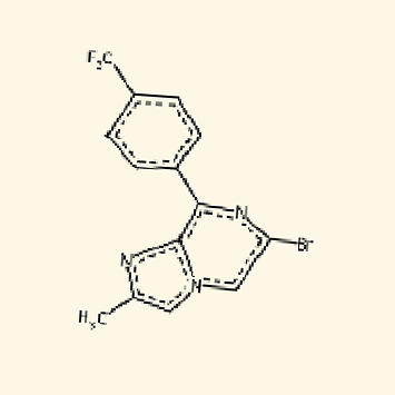 Cc1cn2cc(Br)nc(-c3ccc(C(F)(F)F)cc3)c2n1